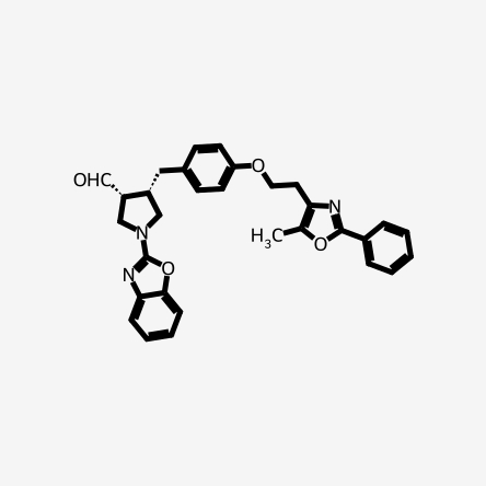 Cc1oc(-c2ccccc2)nc1CCOc1ccc(C[C@@H]2CN(c3nc4ccccc4o3)C[C@@H]2C=O)cc1